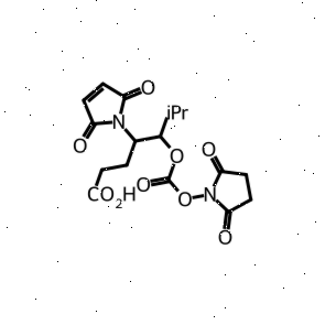 CC(C)C(OC(=O)ON1C(=O)CCC1=O)C(CCC(=O)O)N1C(=O)C=CC1=O